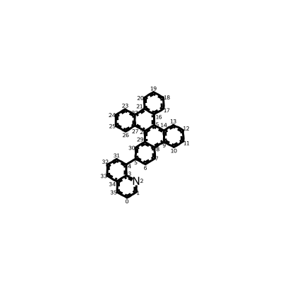 c1cnc2c(-c3ccc4c5ccccc5c5c6ccccc6c6ccccc6c5c4c3)cccc2c1